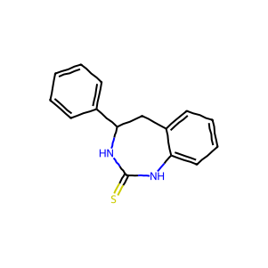 S=C1Nc2ccccc2CC(c2ccccc2)N1